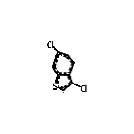 Clc1ccc2c(Cl)[c]sc2c1